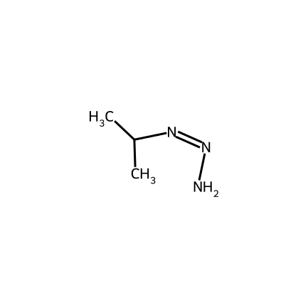 CC(C)/N=N\N